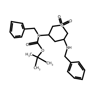 CC(C)(C)OC(=O)N(Cc1ccccc1)C1CC(NCc2ccccc2)CS(=O)(=O)C1